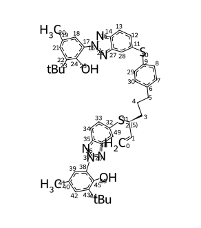 C=C[C@H](CCCc1ccc(Sc2ccc3nn(-c4cc(C)cc(C(C)(C)C)c4O)nc3c2)cc1)Sc1ccc2nn(-c3cc(C)cc(C(C)(C)C)c3O)nc2c1